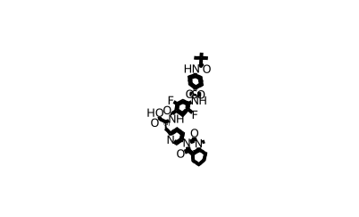 Cn1c2c(c(=O)n(-c3ccc(C[C@H](NC(=O)c4cc(F)c(NS(=O)(=O)c5ccc(NC(=O)C(C)(C)C)cc5)cc4F)C(=O)O)nc3)c1=O)CCCC2